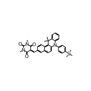 CN1C(=O)C(=Cc2ccc3c4c(ccc3c2)N(c2ccc([Si](C)(C)C)cc2)c2ccccc2C4(C)C)C(=O)N(C)C1=O